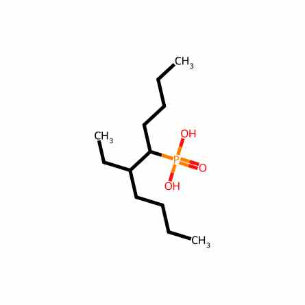 CCCCC(CC)C(CCCC)P(=O)(O)O